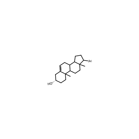 CC(=O)C1CCC2C3CC=C4C[C@@H](O)CCC4(C)C3CCC12C